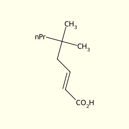 CCCC(C)(C)C/C=C/C(=O)O